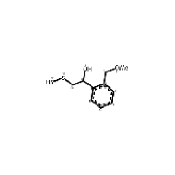 COCc1ccccc1C(O)CSS